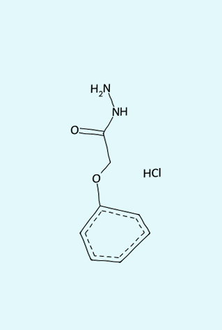 Cl.NNC(=O)COc1ccccc1